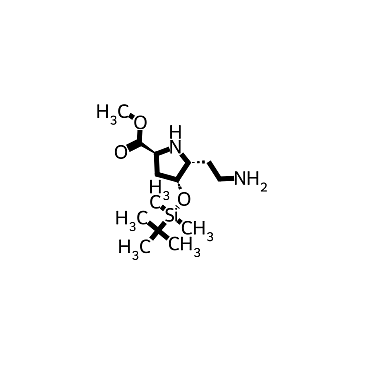 COC(=O)[C@@H]1C[C@@H](O[Si](C)(C)C(C)(C)C)[C@@H](CCN)N1